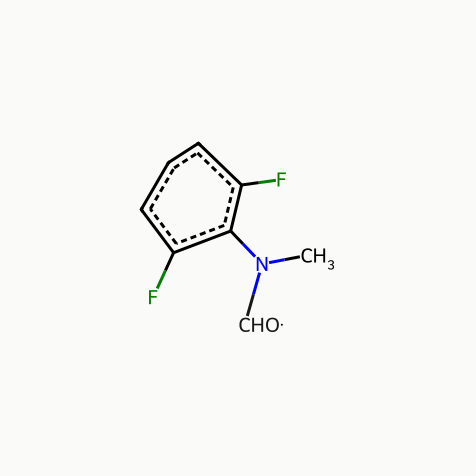 CN([C]=O)c1c(F)cccc1F